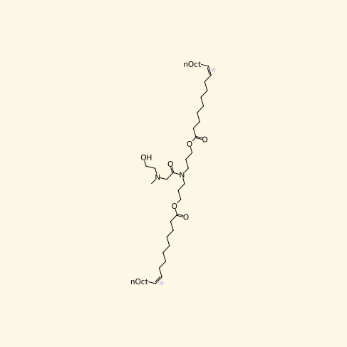 CCCCCCCC/C=C\CCCCCCCC(=O)OCCCN(CCCOC(=O)CCCCCCC/C=C\CCCCCCCC)C(=O)CN(C)CCO